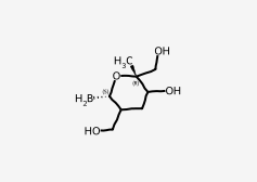 B[C@@H]1O[C@](C)(CO)C(O)CC1CO